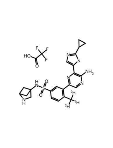 O=C(O)C(F)(F)F.[2H]C([2H])([2H])c1ccc(S(=O)(=O)NC23CNC(C2)C3)cc1-c1cnc(N)c(-c2cnc(C3CC3)s2)n1